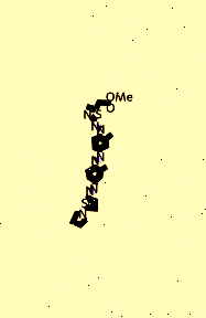 COC(=O)Cc1cnc(/N=N/c2ccc(/N=N/c3ccc(/N=N/c4ccc(N5CCCC5)s4)cc3C)cc2C)s1